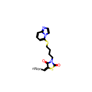 CCCCCCCCCC=C1SC(=O)N(CCCCSc2cccc3nccn23)C1=O